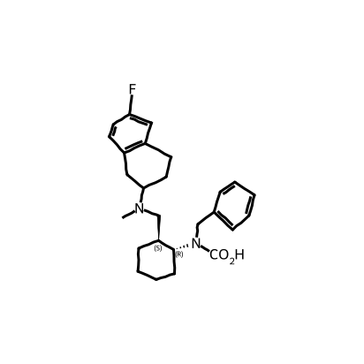 CN(C[C@@H]1CCCC[C@H]1N(Cc1ccccc1)C(=O)O)C1CCc2cc(F)ccc2C1